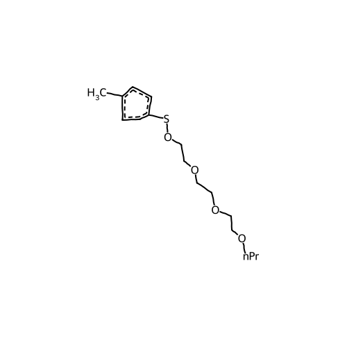 CCCOCCOCCOCCOSc1ccc(C)cc1